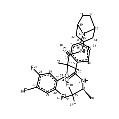 C[C@H](NC(=O)c1ccc(N2C3CCC2CC(NC(=O)C(C)(C)Oc2cc(F)c(F)cc2Cl)C3)nc1)C(F)(F)F